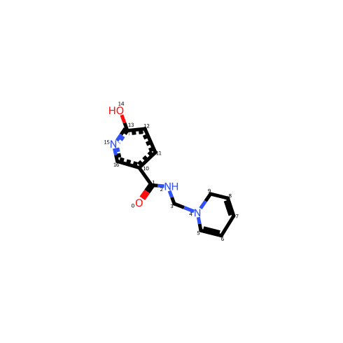 O=C(NCN1C=CC=CC1)c1ccc(O)nc1